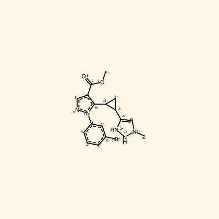 COC(=O)c1cnn(-c2cccc(Br)c2)c1C1CC1C1=CN(C)NN1